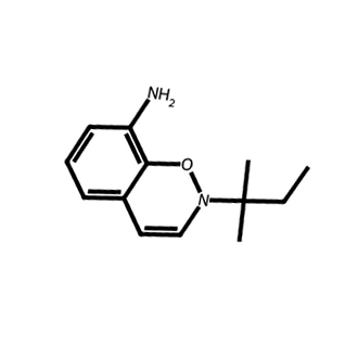 CCC(C)(C)N1C=Cc2cccc(N)c2O1